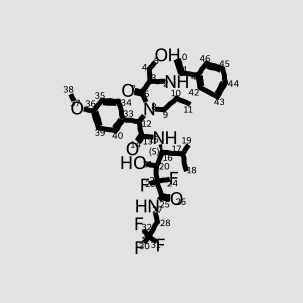 C=C(NC(CO)C(=O)N(CCC)C(C(=O)N[C@@H](C(C)C)C(O)C(F)(F)C(=O)NCC(F)(F)F)c1ccc(OC)cc1)c1ccccc1